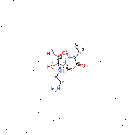 CC(O)C(=O)O.CCC(N)C(=O)O.NCCN